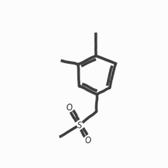 Cc1ccc(CS(C)(=O)=O)cc1C